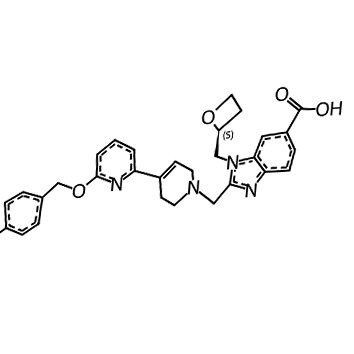 O=C(O)c1ccc2nc(CN3CC=C(c4cccc(OCc5ccc(F)cc5)n4)CC3)n(C[C@@H]3CCO3)c2c1